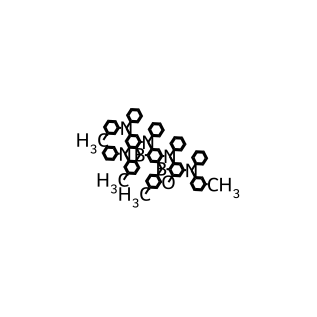 Cc1cccc(N(c2ccccc2)c2cc3c4c(c2)N(c2ccccc2)c2cc5c(cc2B4c2ccc(C)cc2O3)B2c3ccc(C)cc3N(c3ccccc3)c3cc(N(c4ccccc4)c4cccc(C)c4)cc(c32)N5c2ccccc2)c1